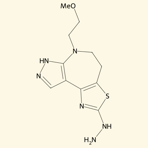 COCCN1CCc2sc(NN)nc2-c2cn[nH]c21